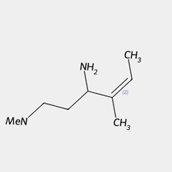 C/C=C(/C)C(N)CCNC